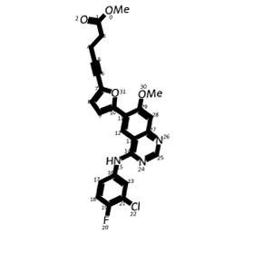 COC(=O)CCC#Cc1ccc(-c2cc3c(Nc4ccc(F)c(Cl)c4)ncnc3cc2OC)o1